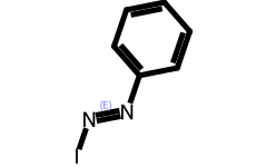 I/N=N/c1ccccc1